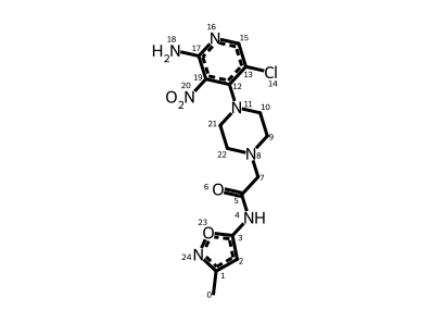 Cc1cc(NC(=O)CN2CCN(c3c(Cl)cnc(N)c3[N+](=O)[O-])CC2)on1